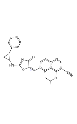 CC(C)Oc1c(C#N)cnc2ccc(/C=C3/SC(NC4CC4c4ccccc4)=NC3=O)nc12